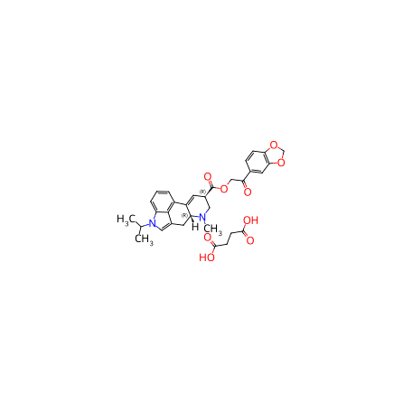 CC(C)n1cc2c3c(cccc31)C1=C[C@@H](C(=O)OCC(=O)c3ccc4c(c3)OCO4)CN(C)[C@@H]1C2.O=C(O)CCC(=O)O